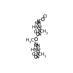 Cc1cc(-c2cnc3c(c2)OCC(NC(=O)c2ncn(Cc4cccc(Cl)c4)n2)C(=S)N3C)ccc1Cn1cnc(C(=O)NC2COc3cccnc3N(C)C2=S)n1